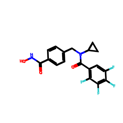 O=C(NO)c1ccc(CN(C(=O)c2cc(F)c(F)c(F)c2F)C2CC2)cc1